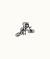 COc1ncc(C(C)CCS(C)(=O)=O)c2sc(NC(=O)N3CCC4(CCOCC4)C3)nc12